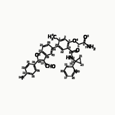 Cc1cc(OCC(N)=O)c(C(=O)NC2(c3ccccn3)CC2)cc1-c1ccc2oc(-c3ccc(F)cc3)c(C=O)c2c1